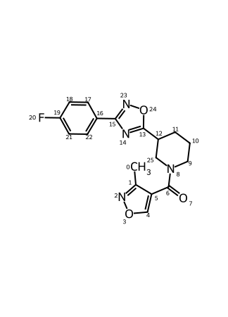 Cc1nocc1C(=O)N1CCCC(c2nc(-c3ccc(F)cc3)no2)C1